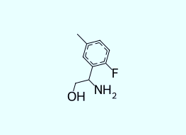 Cc1ccc(F)c(C(N)CO)c1